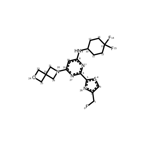 FCc1csc(-c2nc(NC3CCC(F)(F)CC3)cc(N3CC4(COC4)C3)n2)n1